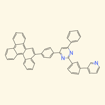 c1ccc(-c2cc(-c3ccc(-c4cc5c6ccccc6c6ccccc6c5c5ccccc45)cc3)nc(-c3cccc(-c4cccnc4)c3)n2)cc1